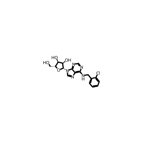 OC[C@H]1O[C@@H](n2cnc3c(NCc4ccccc4Cl)ncnc32)[C@H](O)[C@@H]1O